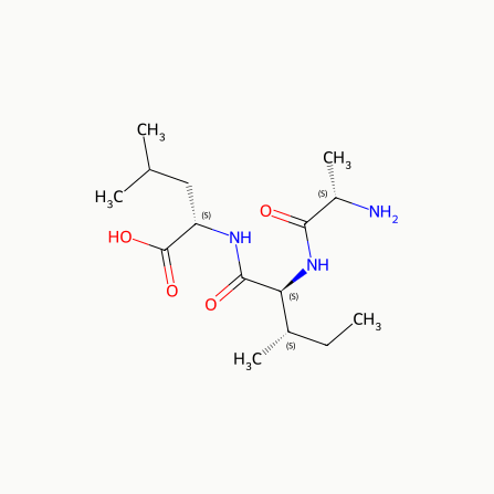 CC[C@H](C)[C@H](NC(=O)[C@H](C)N)C(=O)N[C@@H](CC(C)C)C(=O)O